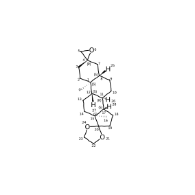 C[C@]12CC[C@]3(CO3)C[C@@H]1CC[C@@H]1[C@@H]2CC[C@@]2(C)[C@H]1CCC21OCCO1